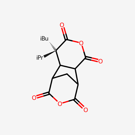 CC[C@@H](C)[C@]1(C(C)C)C(=O)OC(=O)C2C3CC(C(=O)OC3=O)C21